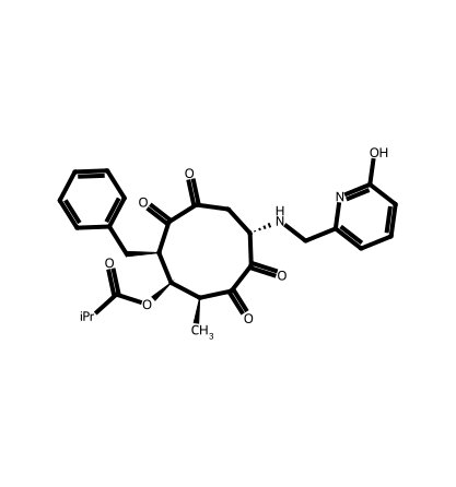 CC(C)C(=O)O[C@@H]1[C@H](C)C(=O)C(=O)[C@@H](NCc2cccc(O)n2)CC(=O)C(=O)[C@@H]1Cc1ccccc1